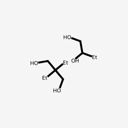 CCC(CC)(CO)CO.CCC(O)CO